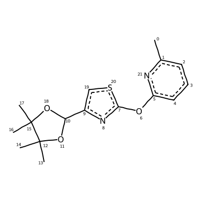 Cc1cccc(Oc2nc(C3OC(C)(C)C(C)(C)O3)cs2)n1